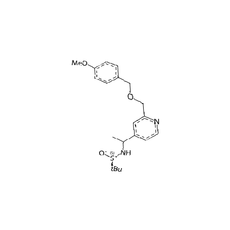 COc1ccc(COCc2cc(C(C)N[S@+]([O-])C(C)(C)C)ccn2)cc1